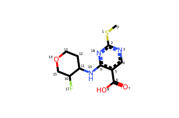 CSc1ncc(C(=O)O)c(NC2CCOCC2F)n1